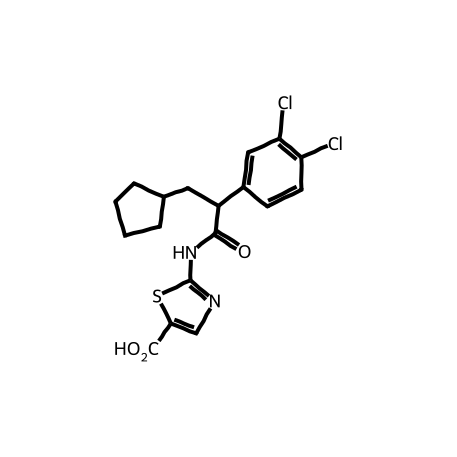 O=C(O)c1cnc(NC(=O)C(CC2CCCC2)c2ccc(Cl)c(Cl)c2)s1